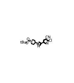 CC(C)(C)OC(=O)N1CCC(n2cc(-c3cnc(Cl)c(C#N)c3)cn2)CC1